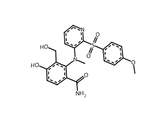 COc1ccc(S(=O)(=O)c2ncccc2N(C)c2c(C(N)=O)ccc(O)c2CO)cc1